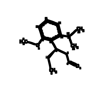 CC[C@H](CC=O)c1c(OC)cccc1N(C)C